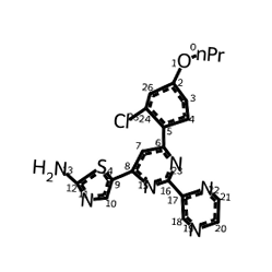 CCCOc1ccc(-c2cc(-c3cnc(N)s3)nc(-c3cnccn3)n2)c(Cl)c1